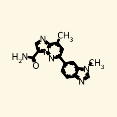 Cc1cc(-c2ccc3ncn(C)c3c2)nn2c(C(N)=O)cnc12